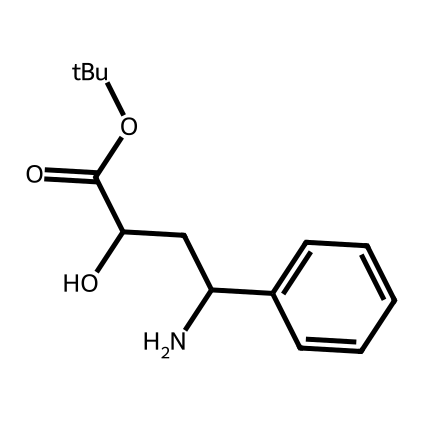 CC(C)(C)OC(=O)C(O)CC(N)c1ccccc1